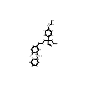 C=CC(CCC)(CCCc1ccc(F)c(Nc2ccccc2)c1)c1ccc(OCC)cc1